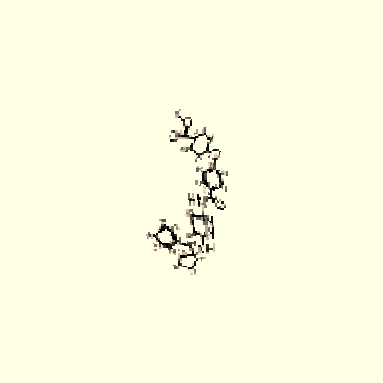 COC(=O)C1CCC(Oc2ccc(C(=O)Nc3ccc(NC4(Cc5ccccc5)CCCC4)nn3)cc2)CC1